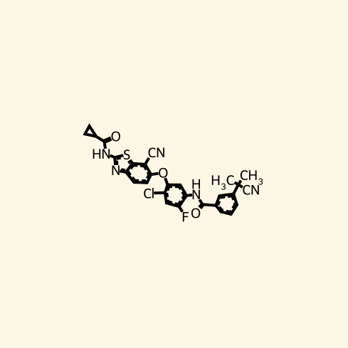 CC(C)(C#N)c1cccc(C(=O)Nc2cc(Oc3ccc4nc(NC(=O)C5CC5)sc4c3C#N)c(Cl)cc2F)c1